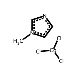 Cn1ccnc1.[Cl][Co]([Cl])[Cl]